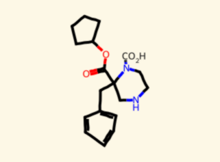 O=C(O)N1CCNCC1(Cc1ccccc1)C(=O)OC1CCCC1